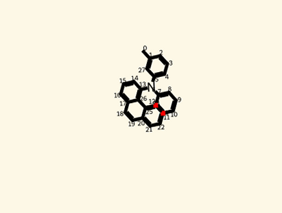 Cc1cccc(N(c2ccccc2)c2cccc3ccc4ccccc4c23)c1